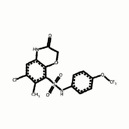 Cc1c(Cl)cc2c(c1S(=O)(=O)Nc1ccc(OC(F)(F)F)cc1)OCC(=O)N2